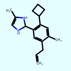 C=CCc1cc(C2NC=C(C)N2)c(C2CCC2)cc1C